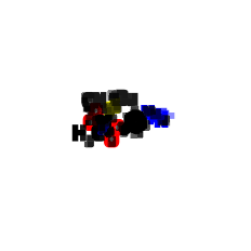 CN(C(=O)OCc1ccc(N=[N+]=[N-])cc1)[C@H](CSSC(C)(C)C)C(=O)OCC#N